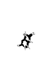 S=c1[nH]c2cc(Cl)nnc2s1